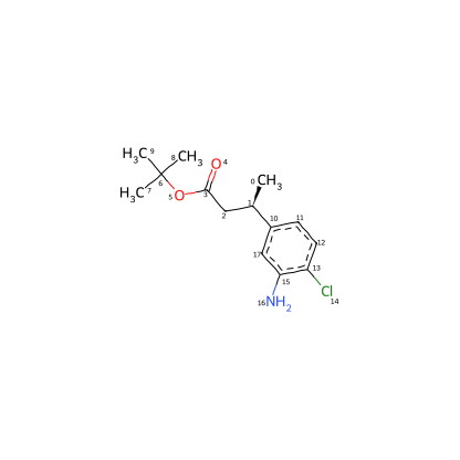 C[C@H](CC(=O)OC(C)(C)C)c1ccc(Cl)c(N)c1